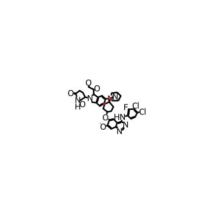 COc1cc2ncnc(Nc3ccc(Cl)c(Cl)c3F)c2cc1OC1CCC(CN2C3CC2CN(c2ccc4c(c2)C(C(=O)C=O)N(C2CCC(=O)NC2=O)C4)C3)CC1